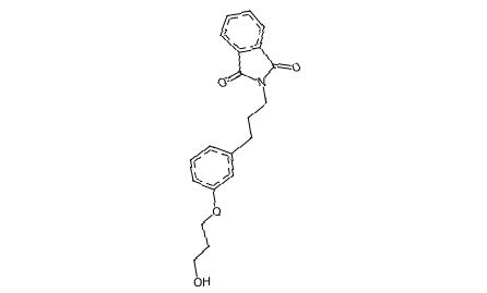 O=C1c2ccccc2C(=O)N1CCCc1cccc(OCCCO)c1